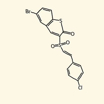 O=c1sc2ccc(Br)cc2cc1S(=O)(=O)C=Cc1ccc(Cl)cc1